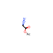 CC(=O)OC(=O)C=[N+]=[N-]